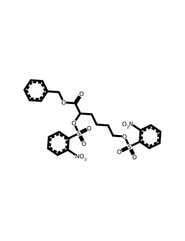 O=C(OCc1ccccc1)C(CCCCOS(=O)(=O)c1ccccc1[N+](=O)[O-])OS(=O)(=O)c1ccccc1[N+](=O)[O-]